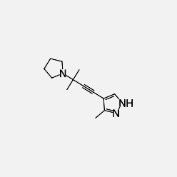 Cc1n[nH]cc1C#CC(C)(C)N1CCCC1